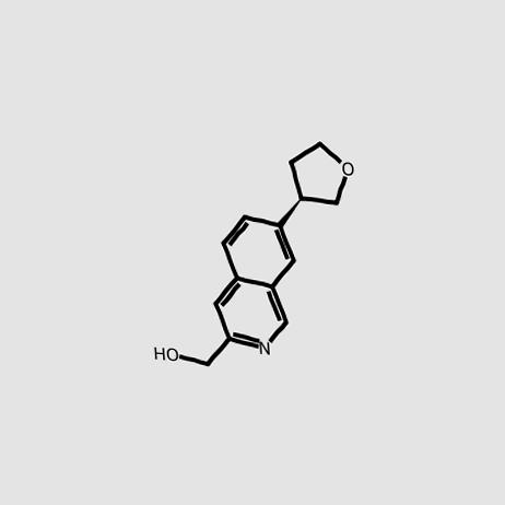 OCc1cc2ccc([C@H]3CCOC3)cc2cn1